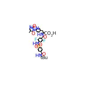 Cc1cn(C)c(=O)n(-c2ccc(C[C@H](NC(=O)c3cc(F)c(NS(=O)(=O)c4ccc(C(=O)NC(C)(C)C)cc4)cc3F)C(=O)O)cn2)c1=O